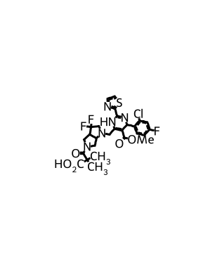 COC(=O)C1=C(CN2CC(F)(F)C3CN(C(=O)C(C)(C)C(=O)O)CC32)NC(c2nccs2)=NC1c1ccc(F)cc1Cl